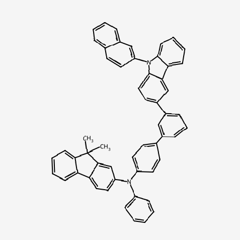 CC1(C)c2ccccc2-c2ccc(N(c3ccccc3)c3ccc(-c4cccc(-c5ccc6c(c5)c5ccccc5n6-c5ccc6ccccc6c5)c4)cc3)cc21